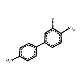 Nc1ccc(-c2ccc([N+](=O)[O-])cc2)cc1F